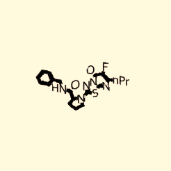 CCCc1nc2sc(N3CCCC3C(=O)NCc3ccccc3)nn2c(=O)c1F